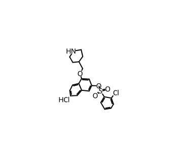 Cl.O=S(=O)(Oc1cc(OCC2CCNCC2)c2ccccc2c1)c1ccccc1Cl